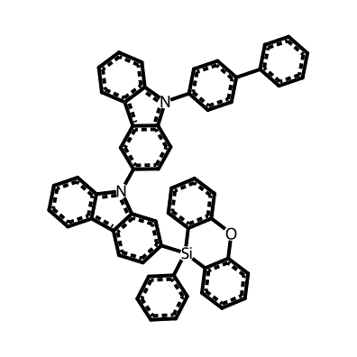 c1ccc(-c2ccc(-n3c4ccccc4c4cc(-n5c6ccccc6c6ccc([Si]7(c8ccccc8)c8ccccc8Oc8ccccc87)cc65)ccc43)cc2)cc1